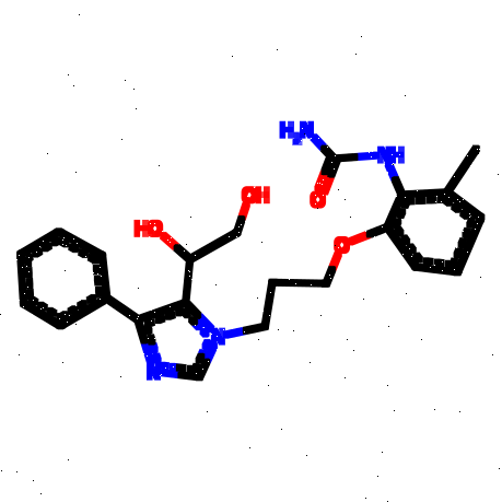 Cc1cccc(OCCCn2cnc(-c3ccccc3)c2C(O)CO)c1NC(N)=O